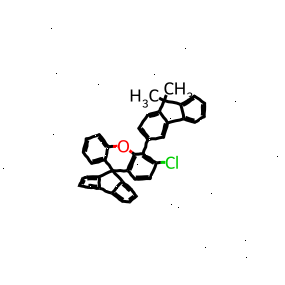 CC1(C)c2ccccc2-c2cc(-c3c(Cl)ccc4c3Oc3ccccc3C43c4ccccc4-c4ccccc43)ccc21